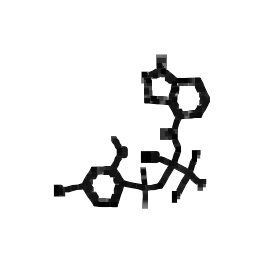 COc1cc(Br)ccc1C(C)(C)CC(O)(CNc1cccc2[nH]ncc12)C(F)(F)F